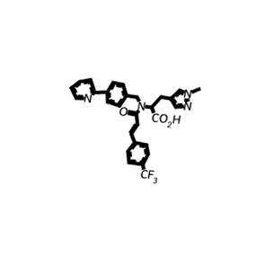 Cn1cc(CC(C(=O)O)N(Cc2ccc(-c3ccccn3)cc2)C(=O)/C=C/c2ccc(C(F)(F)F)cc2)cn1